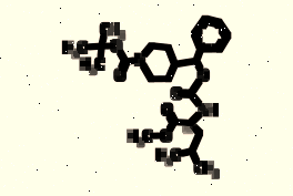 COC(=O)[C@H](CC(C)C)NC(=O)OC(c1ccccc1)C1CCN(C(=O)OC(C)(C)C)CC1